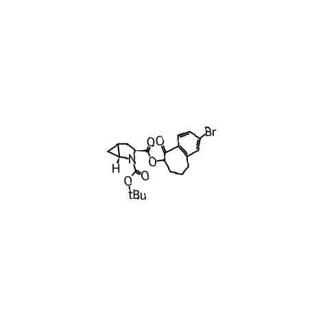 CC(C)(C)OC(=O)N1[C@@H]2CC2C[C@H]1C(=O)OC1CCCc2cc(Br)ccc2C1=O